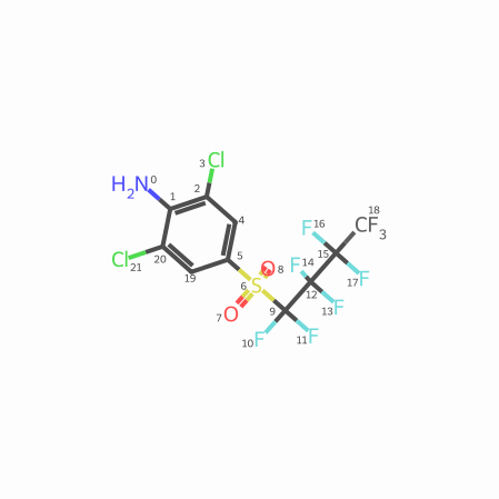 Nc1c(Cl)cc(S(=O)(=O)C(F)(F)C(F)(F)C(F)(F)C(F)(F)F)cc1Cl